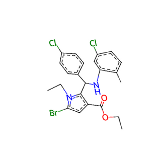 CCOC(=O)c1cc(Br)n(CC)c1C(Nc1cc(Cl)ccc1C)c1ccc(Cl)cc1